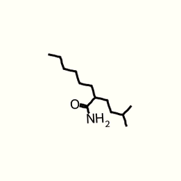 CCCCCCC(CCC(C)C)C(N)=O